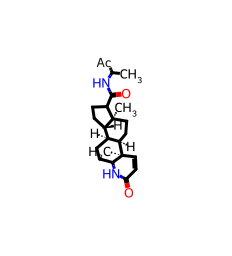 CC(=O)C(C)NC(=O)C1CC[C@H]2[C@@H]3CCC4NC(=O)C=C[C@]4(C)[C@@H]3CC[C@]12C